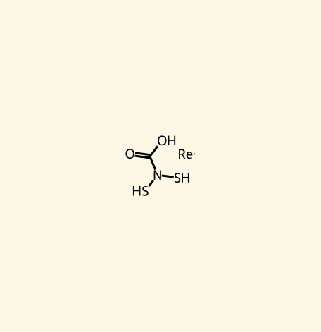 O=C(O)N(S)S.[Re]